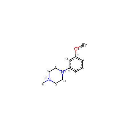 CC(C)Oc1cccc(N2CCN(C)CC2)c1